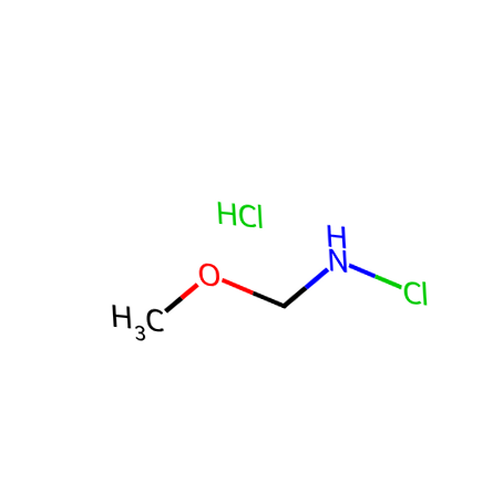 COCNCl.Cl